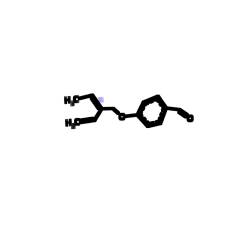 C=C/C(=C\C)COc1ccc(C=O)cc1